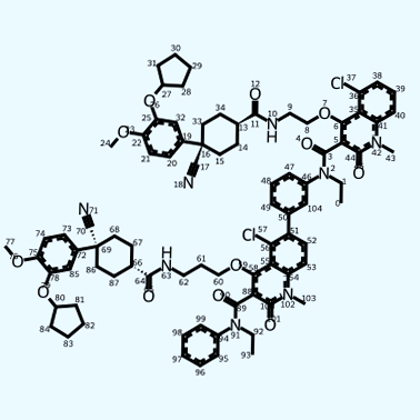 CCN(C(=O)c1c(OCCNC(=O)[C@H]2CC[C@](C#N)(c3ccc(OC)c(OC4CCCC4)c3)CC2)c2c(Cl)cccc2n(C)c1=O)c1cccc(-c2ccc3c(c2Cl)c(OCCCNC(=O)[C@H]2CC[C@](C#N)(c4ccc(OC)c(OC5CCCC5)c4)CC2)c(C(=O)N(CC)c2ccccc2)c(=O)n3C)c1